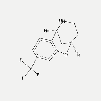 FC(F)(F)c1ccc2c(c1)O[C@@H]1CCN[C@H]2C1